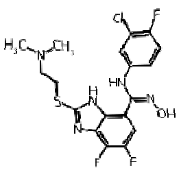 CN(C)CCSc1nc2c(F)c(F)cc(/C(=N\O)Nc3ccc(F)c(Cl)c3)c2[nH]1